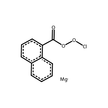 O=C(OOCl)c1cccc2ccccc12.[Mg]